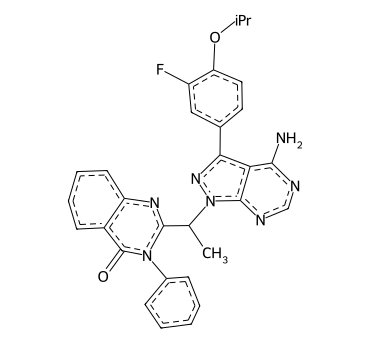 CC(C)Oc1ccc(-c2nn(C(C)c3nc4ccccc4c(=O)n3-c3ccccc3)c3ncnc(N)c23)cc1F